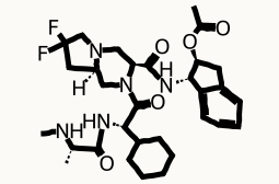 CN[C@@H](C)C(=O)N[C@H](C(=O)N1C[C@H]2CC(F)(F)CN2C[C@H]1C(=O)N[C@H]1c2ccccc2C[C@@H]1OC(C)=O)C1CCCCC1